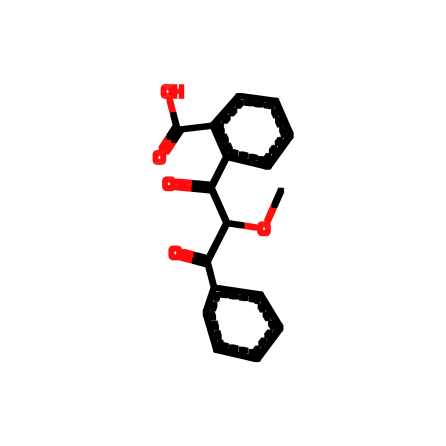 COC(C(=O)c1ccccc1)C(=O)c1ccccc1C(=O)O